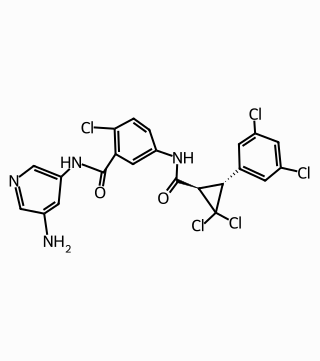 Nc1cncc(NC(=O)c2cc(NC(=O)[C@H]3[C@H](c4cc(Cl)cc(Cl)c4)C3(Cl)Cl)ccc2Cl)c1